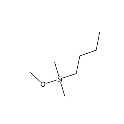 CCCC[Si](C)(C)OC